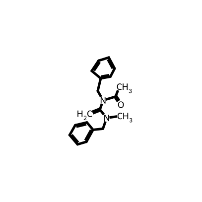 C=C(N(C)Cc1ccccc1)N(Cc1ccccc1)C(C)=O